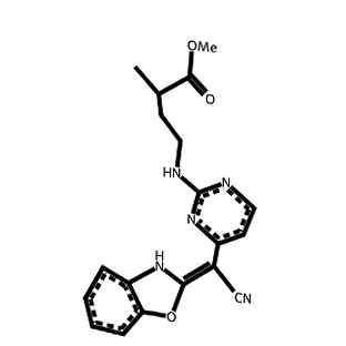 COC(=O)C(C)CCNc1nccc(C(C#N)=C2Nc3ccccc3O2)n1